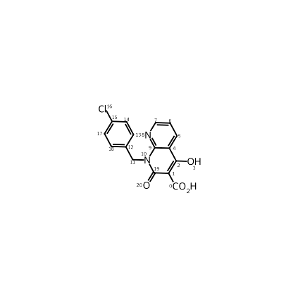 O=C(O)c1c(O)c2cccnc2n(Cc2ccc(Cl)cc2)c1=O